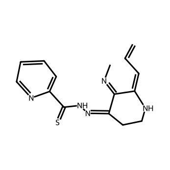 C=C/C=C1/NCCC(=N/NC(=S)c2ccccn2)/C1=N/C